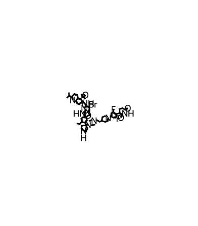 CCc1cc(Nc2ncc(Br)c(Nc3ccc4nc(C(C)C)ccc4c3P(C)(C)=O)n2)c(OC)cc1C1(N2CCN(CCC3CCN(c4cc(F)c(C5CCC(=O)NC5=O)c(F)c4)CC3)CC2)CCNCC1